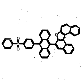 O=S(=O)(c1ccccc1)c1ccc(-c2c3ccccc3c(-c3cc4ccccc4c4c3oc3ccc5ccccc5c34)c3ccccc23)cc1